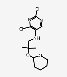 CC(C)(CNc1cnc(Cl)nc1Cl)OC1CCCCO1